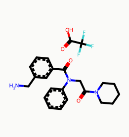 NCc1cccc(C(=O)N(CC(=O)N2CCCCC2)c2ccccc2)c1.O=C(O)C(F)(F)F